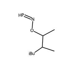 CCC(C)C(C)C(C)ON=P